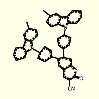 Cc1ccc2c(c1)c1ccccc1n2-c1ccc(-c2cc3cc(C#N)c(=O)sc3cc2-c2ccc(-n3c4ccccc4c4cc(C)ccc43)cc2)cc1